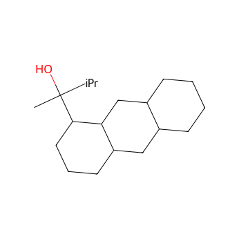 CC(C)C(C)(O)C1CCCC2CC3CCCCC3CC21